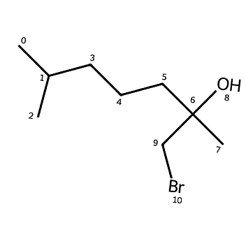 CC(C)CCCC(C)(O)CBr